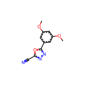 COc1cc(OC)cc(-c2nnc(C#N)o2)c1